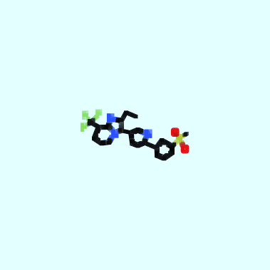 CCc1nc2c(C(F)(F)F)cccn2c1-c1ccc(-c2cccc(S(C)(=O)=O)c2)nc1